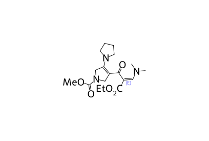 CCOC(=O)/C(=C/N(C)C)C(=O)C1=C(N2CCCC2)CN(C(=O)OC)C1